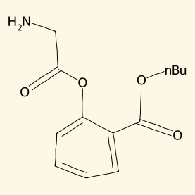 CCCCOC(=O)c1ccccc1OC(=O)CN